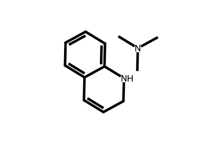 C1=Cc2ccccc2NC1.CN(C)C